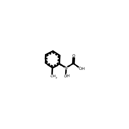 Cc1ccccc1N(O)C(=O)O